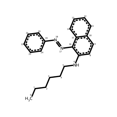 CCCCCCNc1ccc2ccccc2c1N=Nc1ccccc1